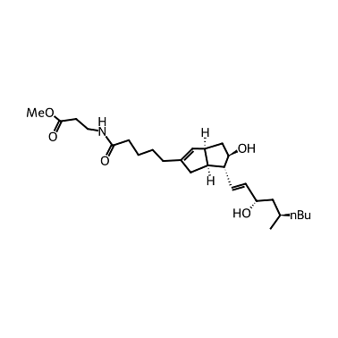 CCCC[C@@H](C)C[C@H](O)/C=C/[C@@H]1[C@H]2CC(CCCCC(=O)NCCC(=O)OC)=C[C@H]2C[C@H]1O